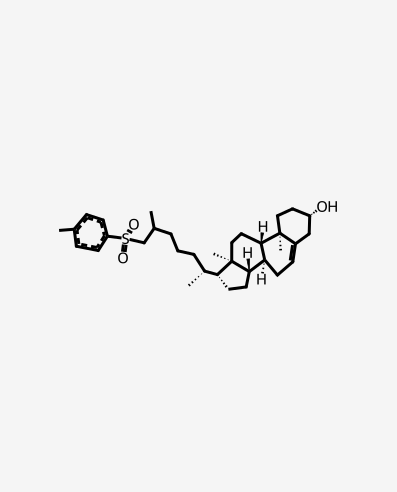 Cc1ccc(S(=O)(=O)CC(C)CCC[C@@H](C)[C@H]2CC[C@H]3[C@@H]4CC=C5C[C@@H](O)CC[C@]5(C)[C@H]4CC[C@]23C)cc1